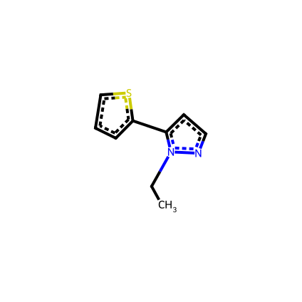 CCn1nccc1-c1cccs1